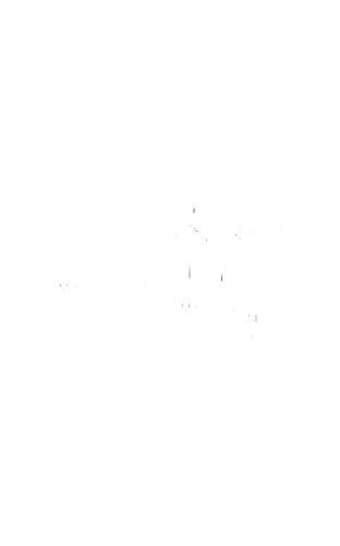 COCCCOc1cc(C(=O)N(C(C)C)[C@@H]2C[C@H](COC(=O)NC(C)C)CN(C(=O)O)C2)ccc1OC